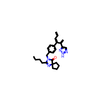 C=C/C=C(\C(=C)c1cn[nH]n1)c1ccc(CN2C(=O)C3(CCCC3)N=C2CCCC)cc1